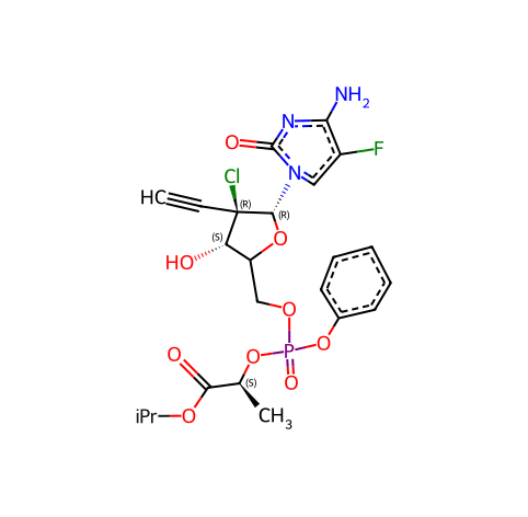 C#C[C@@]1(Cl)[C@@H](O)C(COP(=O)(Oc2ccccc2)O[C@@H](C)C(=O)OC(C)C)O[C@H]1n1cc(F)c(N)nc1=O